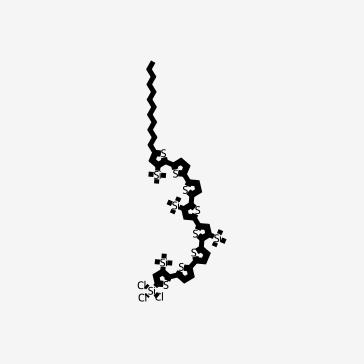 CCCCCCCCCCCCc1cc([Si](C)(C)C)c(-c2ccc(-c3ccc(-c4sc(-c5cc([Si](C)(C)C)c(-c6ccc(-c7ccc(-c8sc([Si](Cl)(Cl)Cl)cc8[Si](C)(C)C)s7)s6)s5)cc4[Si](C)(C)C)s3)s2)s1